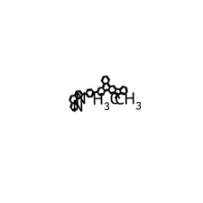 CC1(C)c2ccccc2-c2cc3c4ccccc4c4cc(-c5ccc(-c6ccc7ccc8cccnc8c7n6)cc5)ccc4c3cc21